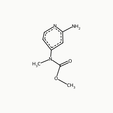 COC(=O)N(C)c1ccnc(N)c1